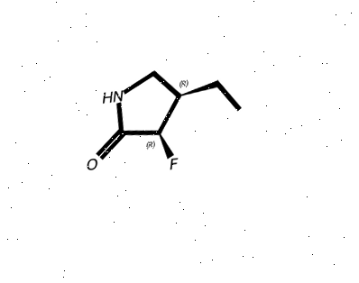 CC[C@@H]1CNC(=O)[C@@H]1F